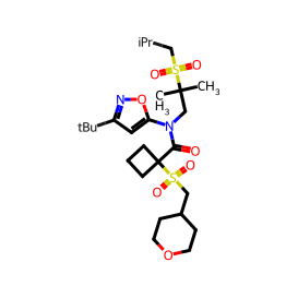 CC(C)CS(=O)(=O)C(C)(C)CN(C(=O)C1(S(=O)(=O)CC2CCOCC2)CCC1)c1cc(C(C)(C)C)no1